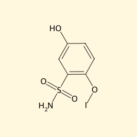 NS(=O)(=O)c1cc(O)ccc1OI